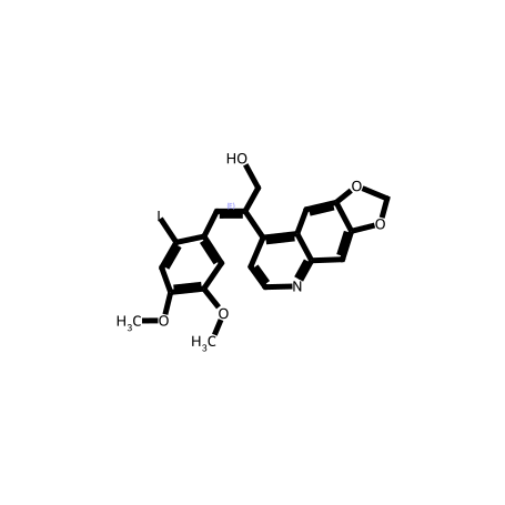 COc1cc(I)c(/C=C(/CO)c2ccnc3cc4c(cc23)OCO4)cc1OC